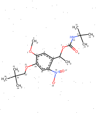 COc1cc(C(C)OC(=O)NC(C)(C)C)c([N+](=O)[O-])cc1OCC(C)(C)C